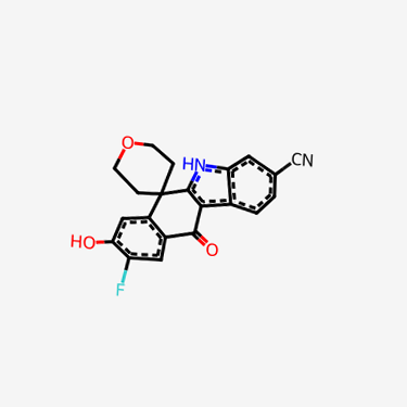 N#Cc1ccc2c3c([nH]c2c1)C1(CCOCC1)c1cc(O)c(F)cc1C3=O